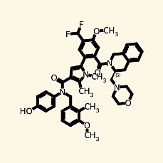 COc1cc(C(=O)N2Cc3ccccc3C[C@H]2CN2CCOCC2)c(-c2cc(C(=O)N(Cc3cccc(OC)c3C)c3ccc(O)cc3)c(C)n2C)cc1C(F)F